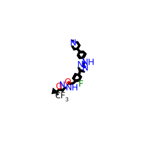 CN1CCC(c2ccc(Nc3ncc(-c4ccc(CC(=O)Nc5cc(C6(C(F)(F)F)CC6)on5)c(F)c4)cn3)cc2)CC1